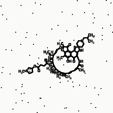 C=C[C@H]1/C=C/O[C@@]2(C)Oc3c(C)c(O)c4c(c3C2=O)C2=NC3(CCN(CC(C)C)CC3)NC2=C(NC(=O)/C(C)=C\C=C\[C@H](C)[C@H](O)[C@@H](C)[C@@H](O)[C@@H](C)[C@H](OC(=O)CCC(=O)OC2CCN(C)C2)[C@@H]1C)C4=O